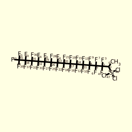 CC(C(F)(F)C(F)(F)C(F)(F)C(F)(F)C(F)(F)C(F)(F)C(F)(F)C(F)(F)C(F)(F)C(F)(F)C(F)(F)C(F)(F)C(F)(F)C(F)(F)F)[Si](Cl)(Cl)Cl